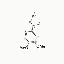 COc1ccc(C(C)CC(C)=O)cc1OC